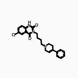 O=c1[nH]c2ccc(Cl)cc2c(=O)n1CCCCN1CC=C(c2ccccc2)CC1